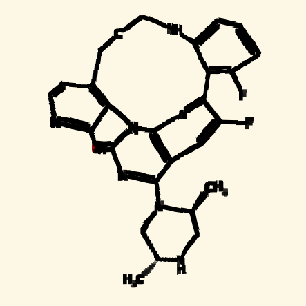 CC(C)c1nccc2c1-n1c(=O)nc(N3C[C@@H](C)NC[C@@H]3C)c3cc(F)c(nc31)-c1c(F)cccc1NCCC2